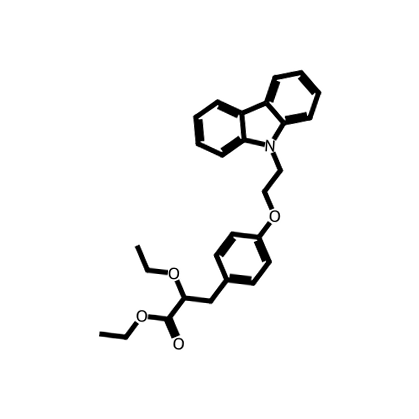 CCOC(=O)C(Cc1ccc(OCCn2c3ccccc3c3ccccc32)cc1)OCC